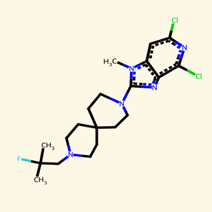 Cn1c(N2CCC3(CCN(CC(C)(C)F)CC3)CC2)nc2c(Cl)nc(Cl)cc21